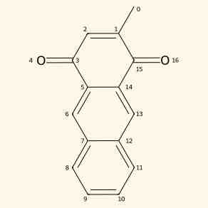 CC1=CC(=O)c2cc3ccccc3cc2C1=O